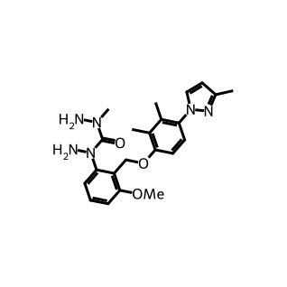 COc1cccc(N(N)C(=O)N(C)N)c1COc1ccc(-n2ccc(C)n2)c(C)c1C